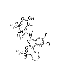 CC1[C@H](C(C)(C)C)N(C(=O)O)CCN1c1nc(=O)n(-c2ccccc2S(C)(=O)=O)c2nc(Cl)c(F)cc12